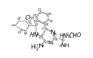 N=C(NC=O)c1nc(N)c(NCC2CCCCC2)c(-c2cccc(Cl)c2)n1